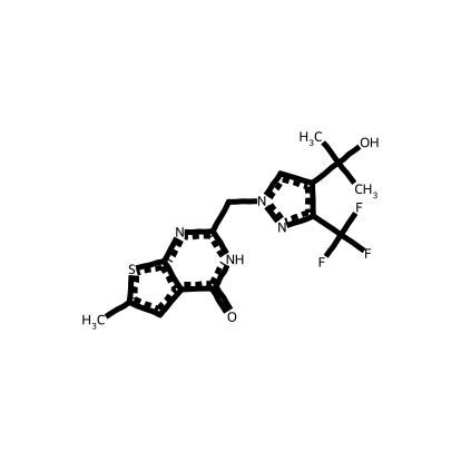 Cc1cc2c(=O)[nH]c(Cn3cc(C(C)(C)O)c(C(F)(F)F)n3)nc2s1